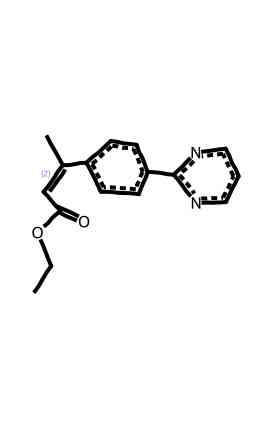 CCOC(=O)/C=C(/C)c1ccc(-c2ncccn2)cc1